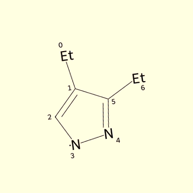 CCC1=C[N]N=C1CC